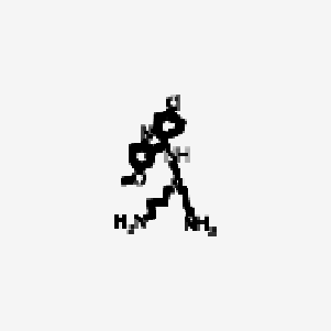 COc1ccc2nc3cc(Cl)ccc3c(NCCN(CCCN)CCCCN)c2c1